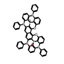 O=P12c3c4cccc3N(c3ccccc3)c3cccc(c31)N(c1ccccc1)c1cc3cc5c6c(c3c(c12)O4)Oc1cccc2c1P6(=O)c1c(cccc1N5c1ccccc1)N2c1ccccc1